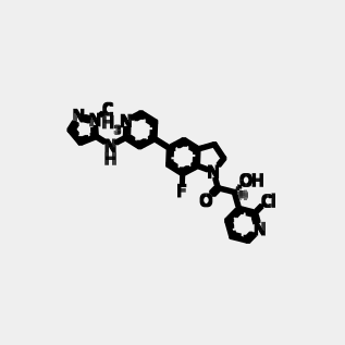 Cn1nccc1Nc1cc(-c2cc(F)c3c(c2)CCN3C(=O)[C@H](O)c2cccnc2Cl)ccn1